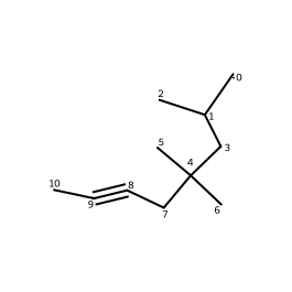 [CH2]C(C)CC(C)(C)CC#CC